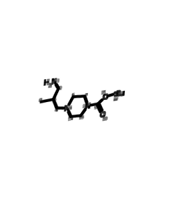 CC(CN)CN1CCN(C(=O)OC(C)(C)C)CC1